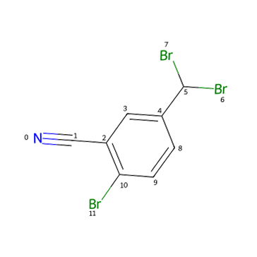 N#Cc1cc(C(Br)Br)ccc1Br